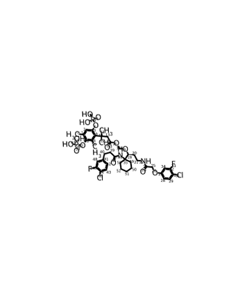 Cc1cc(OP(=O)(O)O)c(C(C)(C)CC(=O)OCO[C@@H](CCNC(=O)COc2ccc(Cl)c(F)c2)C2(NC(=O)CCc3ccc(Cl)c(F)c3)CCCCC2)c(C)c1OP(=O)(O)O